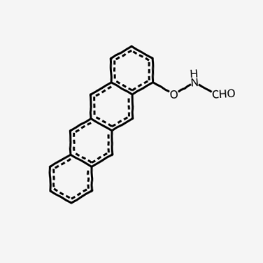 O=CNOc1cccc2cc3cc4ccccc4cc3cc12